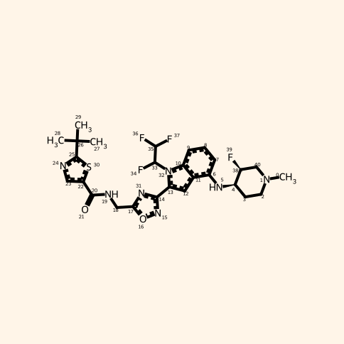 CN1CC[C@@H](Nc2cccc3c2cc(-c2noc(CNC(=O)c4cnc(C(C)(C)C)s4)n2)n3C(F)C(F)F)[C@@H](F)C1